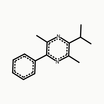 Cc1nc(C(C)C)c(C)nc1-c1ccccc1